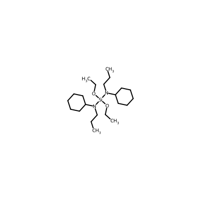 CCCN(C1CCCCC1)[Si](OCC)(OCC)N(CCC)C1CCCCC1